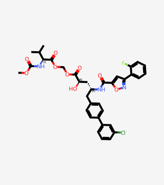 COC(=O)N[C@H](C(=O)OCOC(=O)[C@H](O)C[C@@H](Cc1ccc(-c2cccc(Cl)c2)cc1)NC(=O)c1cc(-c2ccccc2F)no1)C(C)C